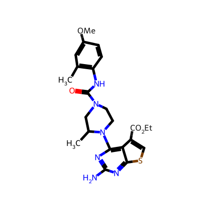 CCOC(=O)c1csc2nc(N)nc(N3CCN(C(=O)Nc4ccc(OC)cc4C)CC3C)c12